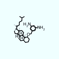 CC(C)CCC[C@@H](C)[C@H]1CC[C@H]2[C@@H]3CCC4CCCC(OCc5cc(N)cc(N)c5)[C@]4(C)[C@H]3CC[C@]12C